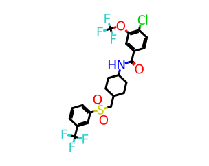 O=C(NC1CCC(CS(=O)(=O)c2cccc(C(F)(F)F)c2)CC1)c1ccc(Cl)c(OC(F)(F)F)c1